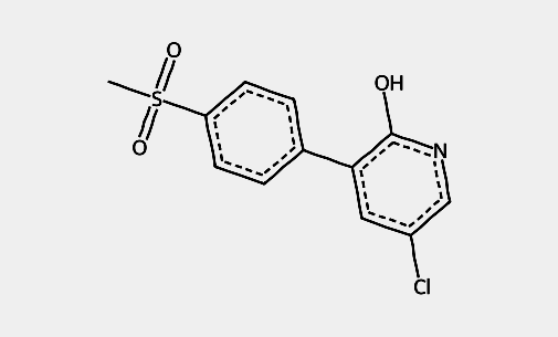 CS(=O)(=O)c1ccc(-c2cc(Cl)cnc2O)cc1